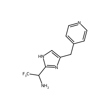 NC(c1nc(Cc2ccncc2)c[nH]1)C(F)(F)F